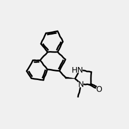 CN1C(=O)CN[C@@H]1Cc1cc2ccccc2c2ccccc12